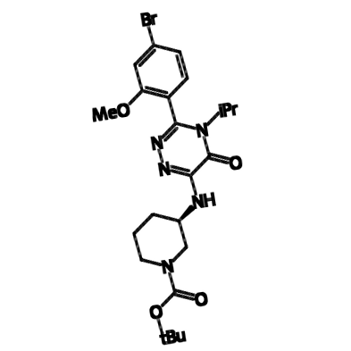 COc1cc(Br)ccc1-c1nnc(N[C@@H]2CCCN(C(=O)OC(C)(C)C)C2)c(=O)n1C(C)C